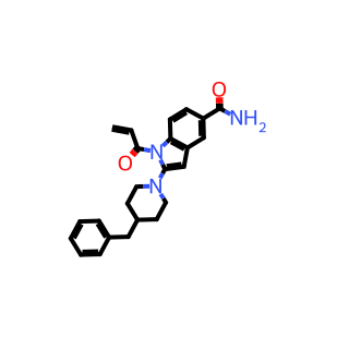 C=CC(=O)n1c(N2CCC(Cc3ccccc3)CC2)cc2cc(C(N)=O)ccc21